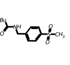 CC(C)(C)C(=O)NCc1ccc(S(C)(=O)=O)cc1